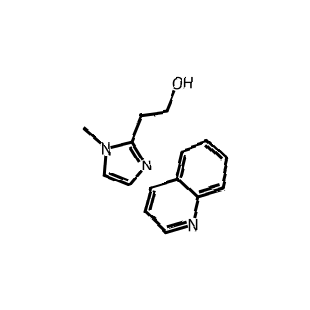 Cn1ccnc1CCO.c1ccc2ncccc2c1